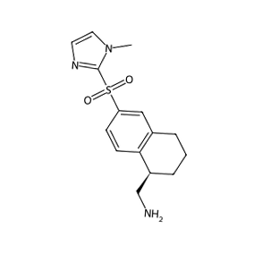 Cn1ccnc1S(=O)(=O)c1ccc2c(c1)CCC[C@H]2CN